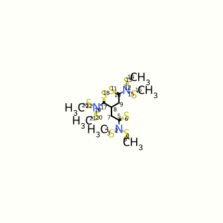 CSN(SC)C(=S)CC(CC(=S)N(SC)SC)C(=S)N(SC)SC